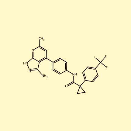 Cc1cc(-c2ccc(NC(=O)C3(c4ccc(C(F)(F)F)cc4)CC3)cc2)c2c(N)n[nH]c2n1